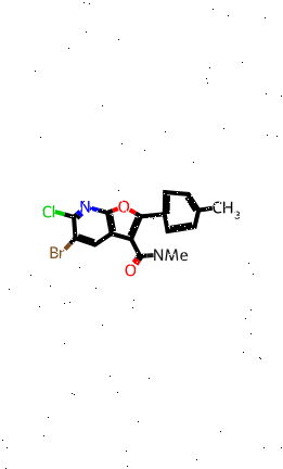 CNC(=O)c1c(-c2ccc(C)cc2)oc2nc(Cl)c(Br)cc12